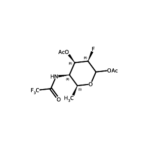 CC(=O)OC1O[C@@H](C)[C@@H](NC(=O)C(F)(F)F)[C@@H](OC(C)=O)[C@H]1F